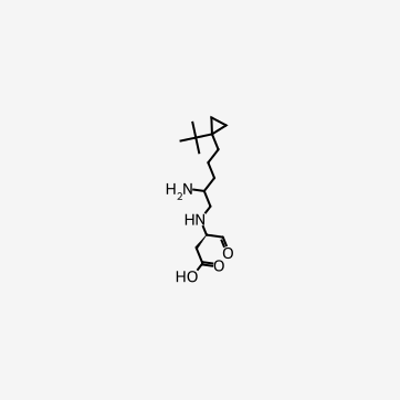 CC(C)(C)C1(CCCC(N)CN[C@@H](C=O)CC(=O)O)CC1